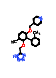 Cc1ccccc1-c1c(OCc2ccncc2)ccc(C#N)c1OCc1nnn[nH]1